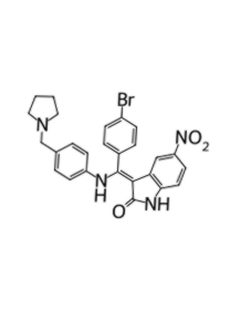 O=C1Nc2ccc([N+](=O)[O-])cc2C1=C(Nc1ccc(CN2CCCC2)cc1)c1ccc(Br)cc1